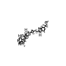 COCC(C)(C)c1ccc2[nH]c(CCC3CC(N(C)C[C@H]4O[C@@H](n5cnc6c(N)ncnc65)[C@@H](O)[C@H]4O)C3)nc2c1